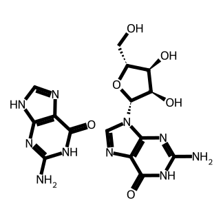 Nc1nc2[nH]cnc2c(=O)[nH]1.Nc1nc2c(ncn2[C@@H]2O[C@H](CO)[C@@H](O)[C@H]2O)c(=O)[nH]1